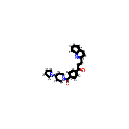 O=C(C=Cc1ccc2ccccc2n1)c1ccc(C(=O)N2CCC(N3CCCC3)CC2)cc1